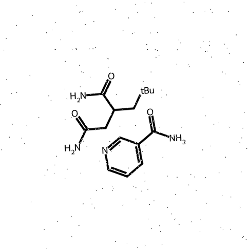 CC(C)(C)CC(CC(N)=O)C(N)=O.NC(=O)c1cccnc1